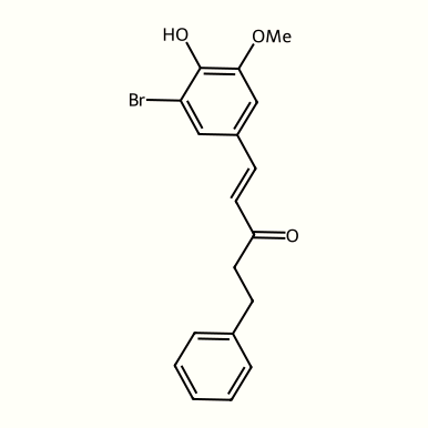 COc1cc(C=CC(=O)CCc2ccccc2)cc(Br)c1O